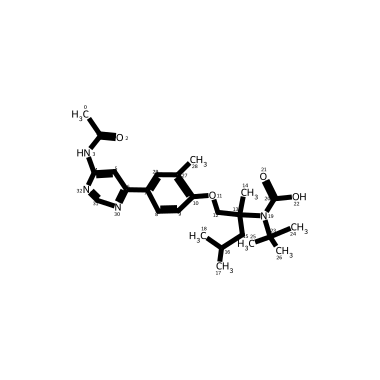 CC(=O)Nc1cc(-c2ccc(OCC(C)(CC(C)C)N(C(=O)O)C(C)(C)C)c(C)c2)ncn1